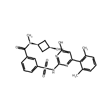 CO[C@H]1C[C@@H](N(C)C(=O)c2cccc(S(=O)(=O)Nc3nc(O)cc(-c4c(C)cccc4C)n3)c2)C1